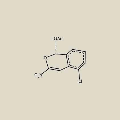 CC(=O)O[C@H]1OC([N+](=O)[O-])=Cc2c(Cl)cccc21